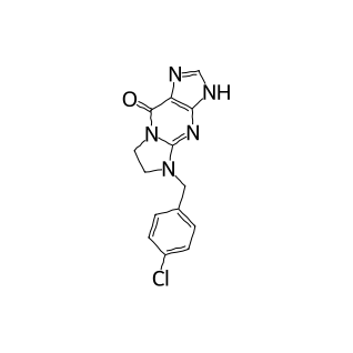 O=c1c2nc[nH]c2nc2n1CCN2Cc1ccc(Cl)cc1